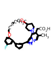 Cc1cn2nc3cc2c(c1CC(=O)O)N1CCC(C)(CC1)OCCCCCOc1ccc(F)cc1-c1cccc-3c1